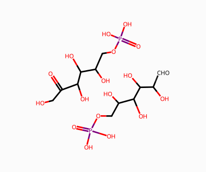 O=C(CO)C(O)C(O)C(O)COP(=O)(O)O.O=CC(O)C(O)C(O)C(O)COP(=O)(O)O